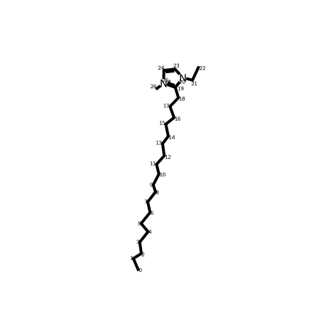 CCCCCCCCCCCCCCCCCCCc1n(CC)cc[n+]1C